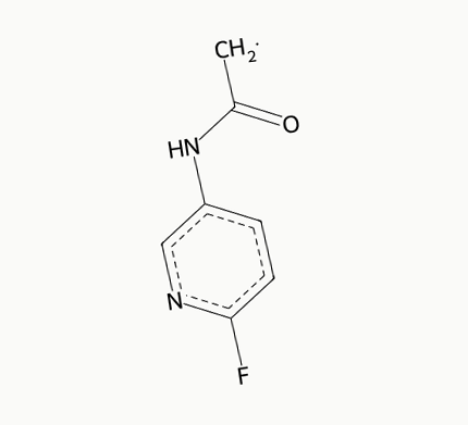 [CH2]C(=O)Nc1ccc(F)nc1